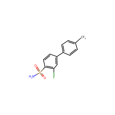 NS(=O)(=O)c1ccc(-c2ccc(C(F)(F)F)cc2)cc1F